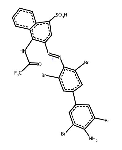 Nc1c(Br)cc(-c2cc(Br)c(/N=N/c3cc(S(=O)(=O)O)c4ccccc4c3NC(=O)C(F)(F)F)c(Br)c2)cc1Br